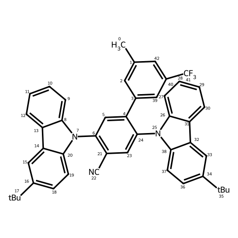 Cc1cc(-c2cc(-n3c4ccccc4c4cc(C(C)(C)C)ccc43)c(C#N)cc2-n2c3ccccc3c3cc(C(C)(C)C)ccc32)cc(C(F)(F)F)c1